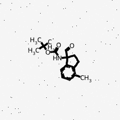 Cc1cccc2c1CCC2(C=O)NC(=O)OC(C)(C)C